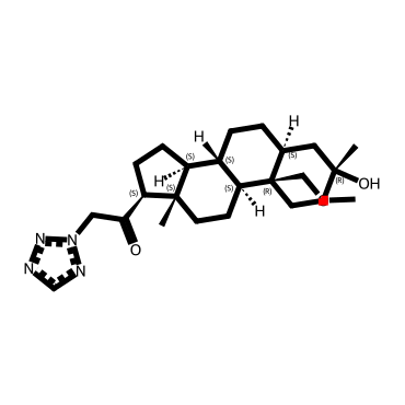 COC[C@]12CC[C@@](C)(O)C[C@@H]1CC[C@H]1[C@@H]3CC[C@H](C(=O)Cn4ncnn4)[C@@]3(C)CC[C@@H]12